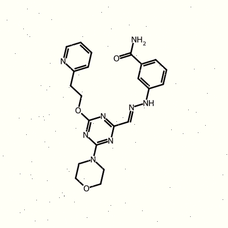 NC(=O)c1cccc(NN=Cc2nc(OCCc3ccccn3)nc(N3CCOCC3)n2)c1